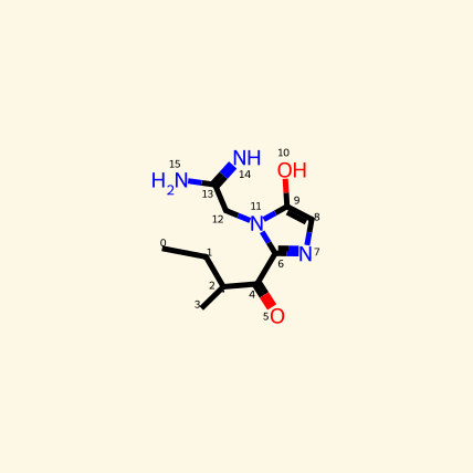 CC[C](C)C(=O)c1ncc(O)n1CC(=N)N